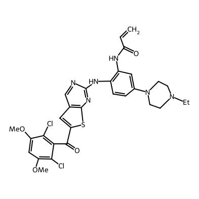 C=CC(=O)Nc1cc(N2CCN(CC)CC2)ccc1Nc1ncc2cc(C(=O)c3c(Cl)c(OC)cc(OC)c3Cl)sc2n1